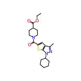 CCOC(=O)C1CCN(C(=O)c2cc3c(C)nn(C4CCCCC4)c3s2)CC1